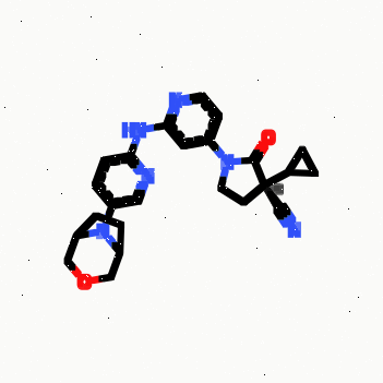 N#C[C@@]1(C2CC2)CCN(c2ccnc(Nc3ccc(N4C5CCC4COC5)cn3)c2)C1=O